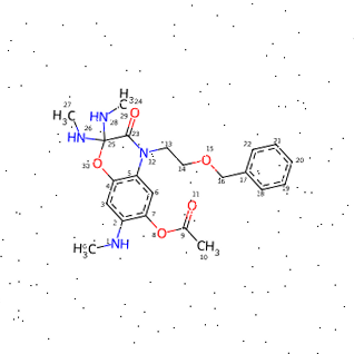 CNc1cc2c(cc1OC(C)=O)N(CCOCc1ccccc1)C(=O)C(NC)(NC)O2